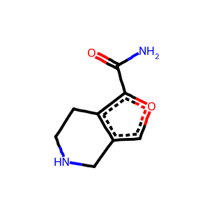 NC(=O)c1occ2c1CCNC2